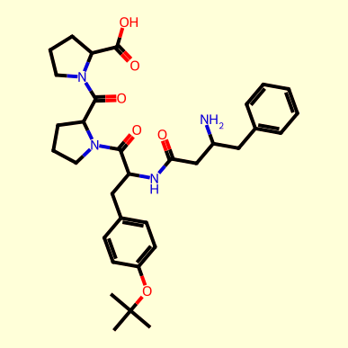 CC(C)(C)Oc1ccc(CC(NC(=O)CC(N)Cc2ccccc2)C(=O)N2CCCC2C(=O)N2CCCC2C(=O)O)cc1